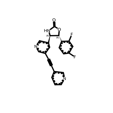 O=C1N[C@H](c2cncc(C#Cc3cccnc3)c2)[C@@H](c2ccc(F)cc2F)O1